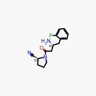 N#C[C@@H]1CCCN1C(=O)C[C@H](N)Cc1ccccc1F